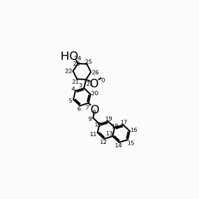 COC1(c2cccc(OCc3ccc4ccccc4c3)c2)CCC(O)CC1